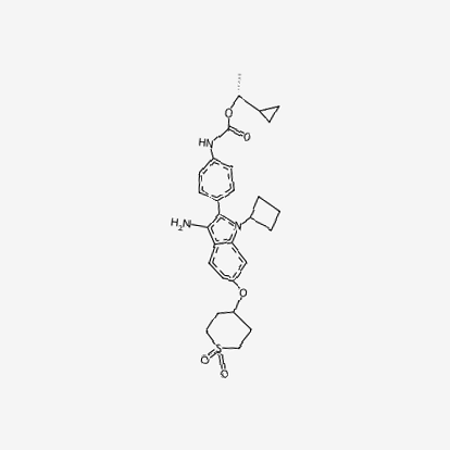 C[C@@H](OC(=O)Nc1ccc(-c2c(N)c3ccc(OC4CCS(=O)(=O)CC4)cc3n2C2CCC2)cc1)C1CC1